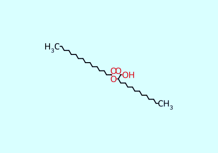 CCCCCCCCCCCCCCCC(=O)OC(CCCCCCCCCCCC)C(=O)O